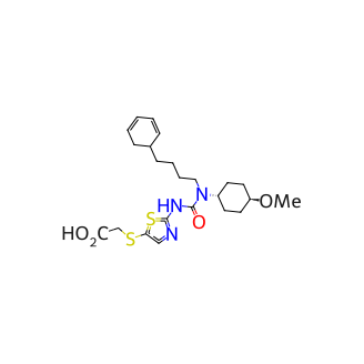 CO[C@H]1CC[C@H](N(CCCCC2C=CC=CC2)C(=O)Nc2ncc(SCC(=O)O)s2)CC1